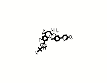 COc1ccc(-c2ccc(CN3C(=O)[C@H](N)CC(F)(F)c4cc(F)c(-c5nnc(C(C)(C)C#N)o5)cc43)cc2)nc1